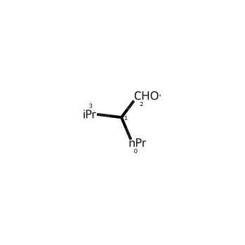 CCCC([C]=O)C(C)C